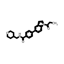 CCC(=O)n1ccc2cc(-c3ccc(C(=O)NCC4CCOCC4)cc3)ccc21